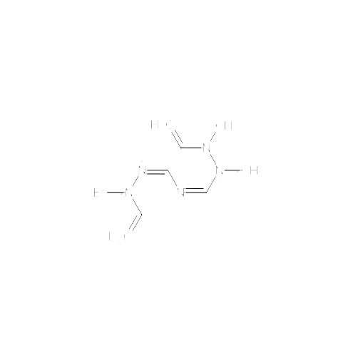 C=CN(CC)/N=C\N=C/N(C)N(C)C=C